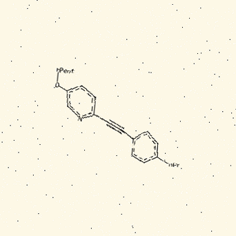 CCCCCOc1ccc(C#Cc2ccc(CCC)cc2)nc1